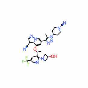 Cc1c(-c2cc(OC(C)c3cc(C(F)(F)F)cnc3N3CC(O)C3)c3c(C#N)cnn3c2)nnn1C1CCN(C#N)CC1